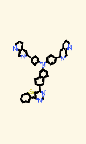 c1cnc2cnc(-c3ccc(N(c4ccc(-c5cc6cccnc6cn5)cc4)c4ccc5cc(-c6ncnc7c6sc6ccccc67)ccc5c4)cc3)cc2c1